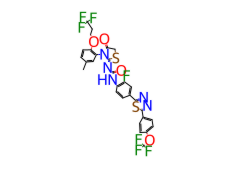 Cc1ccc(OCCC(F)(F)F)c(N2C(=O)CSC2=NC(=O)Nc2ccc(-c3nnc(-c4ccc(OC(F)(F)F)cc4)s3)cc2F)c1